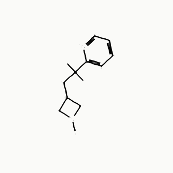 CC(C)(CC1CN(C(C)(C)C)C1)c1ccccn1